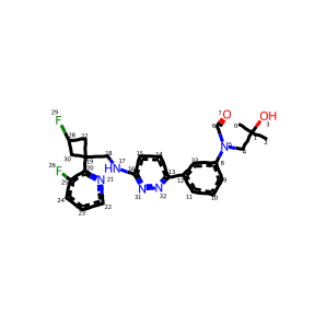 CC(C)(O)CN(C=O)c1cccc(-c2ccc(NCC3(c4ncccc4F)CC(F)C3)nn2)c1